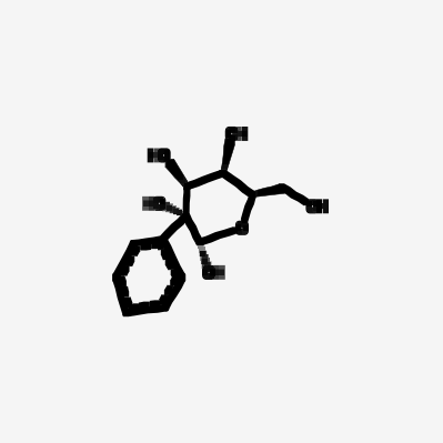 OC[C@H]1O[C@H](O)[C@@](O)(c2ccccc2)[C@@H](O)[C@H]1O